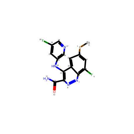 CCSc1cc(F)c2nnc(C(N)=O)c(Nc3cncc(F)c3)c2c1